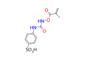 C=C(C)C(=O)ONC(=O)Nc1ccc(S(=O)(=O)O)cc1